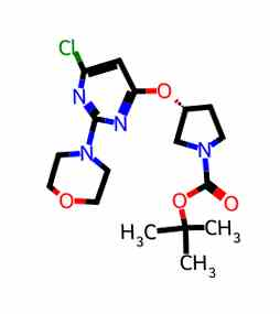 CC(C)(C)OC(=O)N1CC[C@@H](Oc2cc(Cl)nc(N3CCOCC3)n2)C1